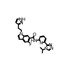 CC(C)n1cnnc1-c1cccc(NC(=O)c2cc3c(ccn3CCc3cc[nH]n3)cc2F)n1